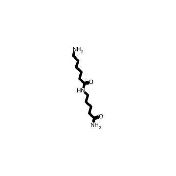 NCCCCCC(=O)NCCCCC(N)=O